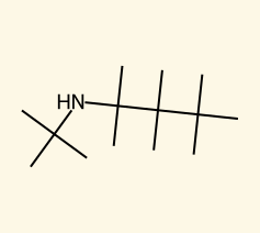 CC(C)(C)NC(C)(C)C(C)(C)C(C)(C)C